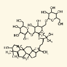 CC(CCC(OC1OC(COC2OC(CO)C(O)C(O)C2O)C(O)C(O)C1OC1OC(CO)C(O)C(O)C1O)C(C)(C)O)C1CCC2(C)C3CC=C4C(CCC(O)C4(C)C)C3(C)CCC12C